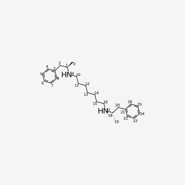 C[C@H](Cc1ccccc1)NCCCCCCCN[C@@H](C)Cc1ccccc1